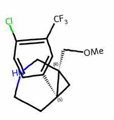 COC[C@@]12CNCC[C@]1(c1ccc(Cl)c(C(F)(F)F)c1)C2